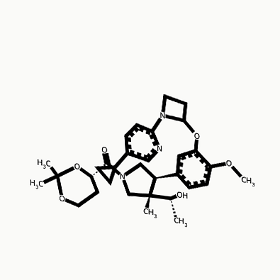 COc1ccc([C@@H]2CN(C(=O)[C@@H]3CCOC(C)(C)O3)C[C@@]2(C)[C@@H](C)O)cc1OC1CCN1c1ccc(C2CC2)cn1